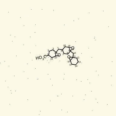 O=C(O)C1CCC2(CC3CCC4(CC56CCCCC5O6)OC4C3)OC2C1